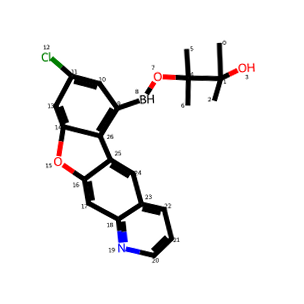 CC(C)(O)C(C)(C)OBc1cc(Cl)cc2oc3cc4ncccc4cc3c12